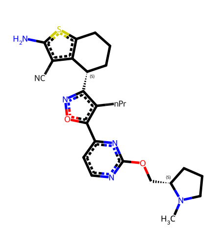 CCCc1c([C@H]2CCCc3sc(N)c(C#N)c32)noc1-c1ccnc(OC[C@@H]2CCCN2C)n1